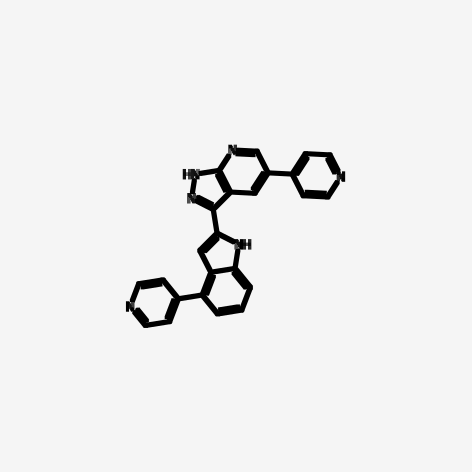 c1cc(-c2ccncc2)c2cc(-c3n[nH]c4ncc(-c5ccncc5)cc34)[nH]c2c1